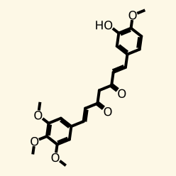 COc1ccc(C=CC(=O)CC(=O)C=Cc2cc(OC)c(OC)c(OC)c2)cc1O